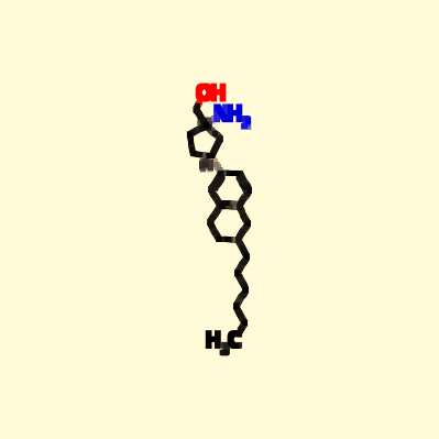 CCCCCCC1CCc2cc([C@@H]3CC[C@@](N)(CO)C3)ccc2C1